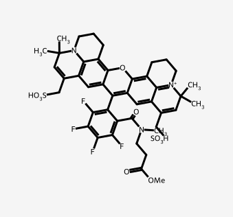 COC(=O)CCN(C)C(=O)c1c(F)c(F)c(F)c(F)c1C1=c2cc3c4c(c2Oc2c1cc1c5c2CCCN5C(C)(C)C=C1CS(=O)(=O)O)CCC[N+]=4C(C)(C)C=C3CS(=O)(=O)O